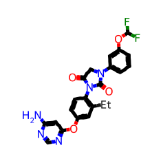 CCc1cc(Oc2cc(N)ncn2)ccc1N1C(=O)CN(c2cccc(OC(F)F)c2)C1=O